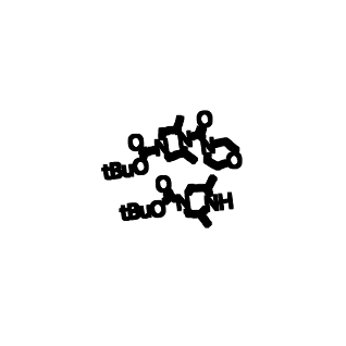 CC1CN(C(=O)OC(C)(C)C)CC(C)N1.CC1CN(C(=O)OC(C)(C)C)CC(C)N1C(=O)N1CCOCC1